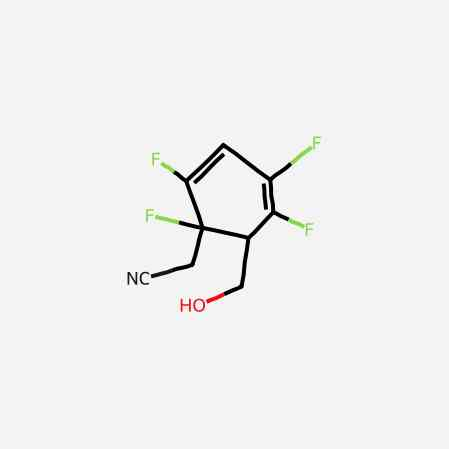 N#CCC1(F)C(F)=CC(F)=C(F)C1CO